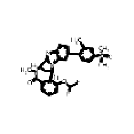 Cc1cc(P(C)(C)=O)ccc1-c1ccc2nc3n(c2c1)[C@@H]1C[C@H]3N(C)C(=O)c2cccc(OC(F)F)c21